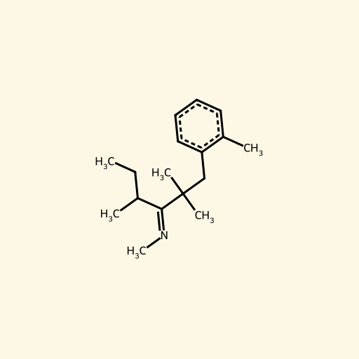 CCC(C)/C(=N\C)C(C)(C)Cc1ccccc1C